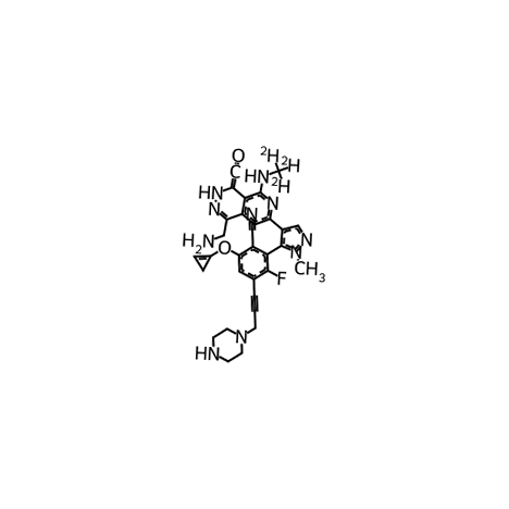 [2H]C([2H])([2H])Nc1nc(-c2cnn(C)c2-c2c(F)c(C#CCN3CCNCC3)cc(OC3=CC3)c2C#N)cc2c1C(=C=O)NN=C2CN